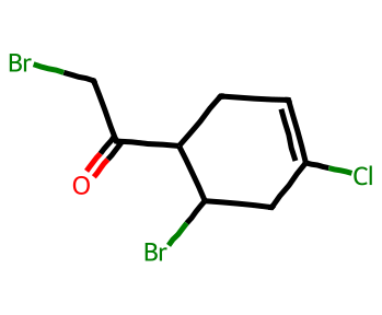 O=C(CBr)C1CC=C(Cl)CC1Br